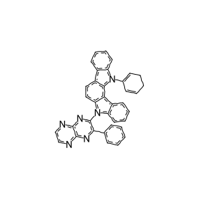 C1=CC(n2c3ccccc3c3ccc4c(c5ccccc5n4-c4nc5nccnc5nc4-c4ccccc4)c32)=CCC1